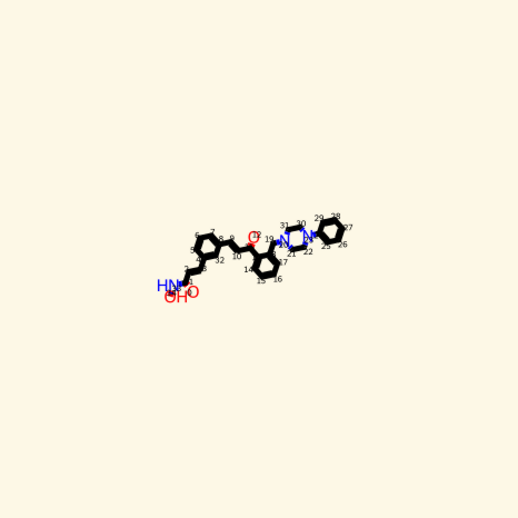 O=C(C=Cc1cccc(C=CC(=O)c2ccccc2CN2CCN(c3ccccc3)CC2)c1)NO